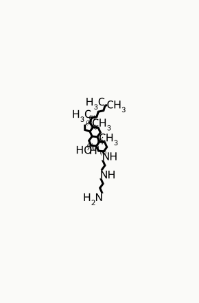 CC(C)CCC[C@@H](C)[C@H]1CCC2C3C[C@@H](O)[C@H]4C[C@H](NCCCNCCCCN)CC[C@]4(C)C3CC[C@@]21C